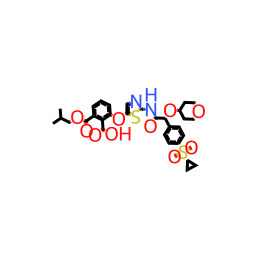 CC(C)COC(=O)c1cccc(Oc2cnc(NC(=O)C(OC3CCOCC3)c3ccc(S(=O)(=O)C4CC4)cc3)s2)c1C(=O)O